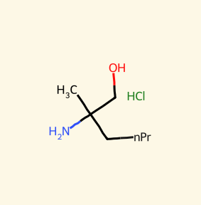 CCCCC(C)(N)CO.Cl